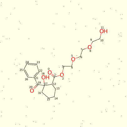 O=C(OCCOCCOCCO)C1CCCCC1(O)C(=O)c1ccccc1